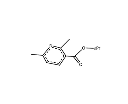 CCCOC(=O)c1ccc(C)nc1C